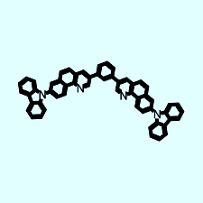 c1cc(-c2cnc3c(ccc4cc(-n5c6ccccc6c6ccccc65)ccc43)c2)cc(-c2cnc3c(ccc4cc(-n5c6ccccc6c6ccccc65)ccc43)c2)c1